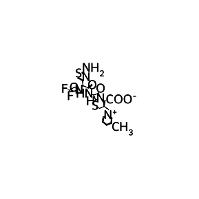 Cc1ccc[n+](CC2=C(C(=O)[O-])N3C(=O)C(NC(=O)C(=NOC(F)F)c4csc(N)n4)[C@@H]3SC2)c1